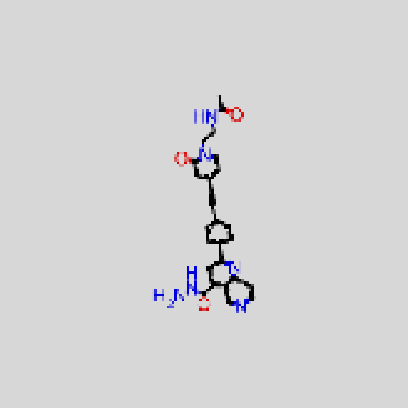 CC(=O)NCCn1ccc(C#Cc2ccc(-c3cc(C(=O)NN)c4cnccc4n3)cc2)cc1=O